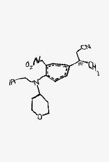 CC(C)CN(c1ccc([C@H](C)CC#N)cc1[N+](=O)[O-])C1CCOCC1